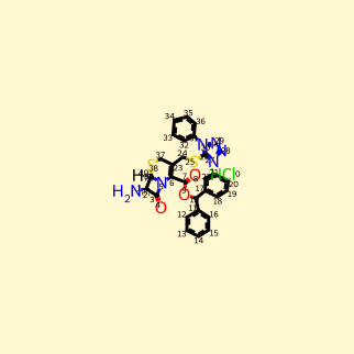 Cl.N[C@@H]1C(=O)N2C(C(=O)OC(c3ccccc3)c3ccccc3)=C(CSc3nnnn3-c3ccccc3)CS[C@H]12